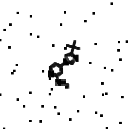 CC(C)(C)c1cn(-c2ccnc(N)c2)cn1